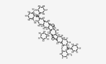 Cc1cccc(C)c1N(c1ccccc1)c1ccc2cc3c(cc2c1)oc1c(-c2ccccc2)c2c(cc13)oc1cc3cc(N(c4ccccc4)c4c(C)cccc4C)ccc3cc12